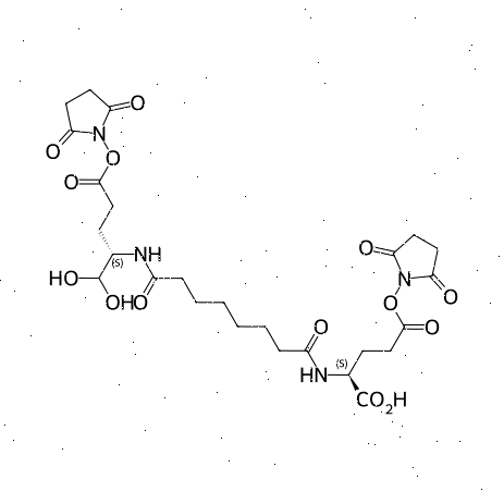 O=C(CCCCCCC(=O)N[C@@H](CCC(=O)ON1C(=O)CCC1=O)C(O)O)N[C@@H](CCC(=O)ON1C(=O)CCC1=O)C(=O)O